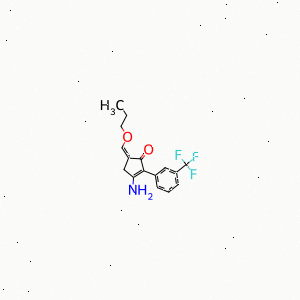 CCCOC=C1CC(N)=C(c2cccc(C(F)(F)F)c2)C1=O